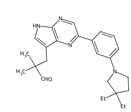 CCC1(CC)CCN(c2cccc(-c3cnc4[nH]cc(CC(C)(C)C=O)c4n3)c2)C1